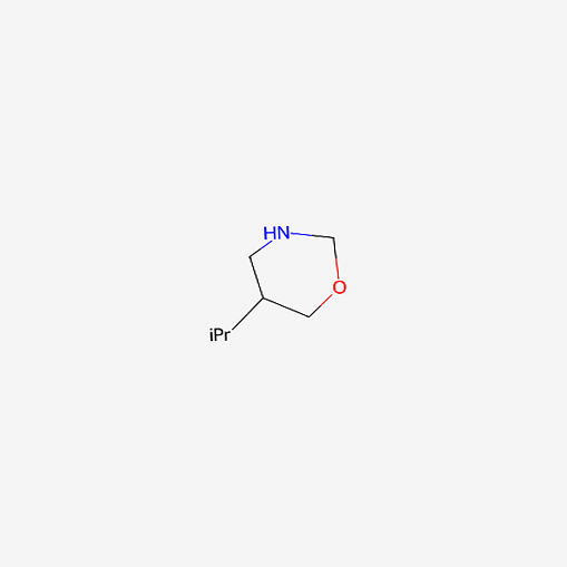 CC(C)C1CNCOC1